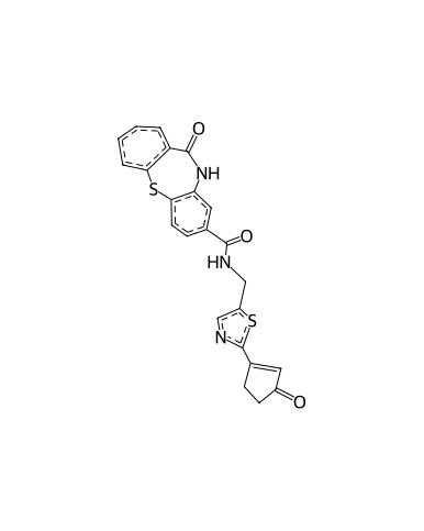 O=C1C=C(c2ncc(CNC(=O)c3ccc4c(c3)NC(=O)c3ccccc3S4)s2)CC1